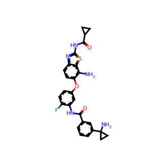 Nc1c(Oc2ccc(F)c(NC(=O)c3cccc(C4(N)CC4)c3)c2)ccc2nc(NC(=O)C3CC3)sc12